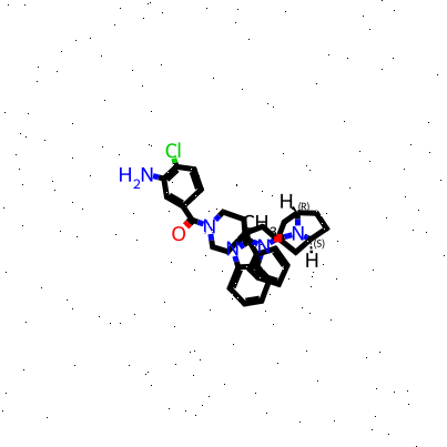 Cc1nc2ccccc2n1C1C[C@H]2CC[C@@H](C1)N2CCC1(c2ccccc2)CCN(C(=O)c2ccc(Cl)c(N)c2)CC1